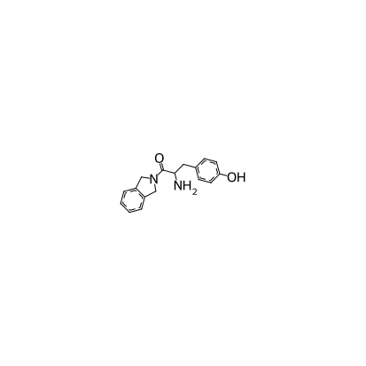 NC(Cc1ccc(O)cc1)C(=O)N1Cc2ccccc2C1